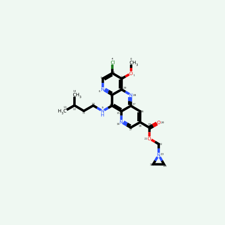 COc1c(Cl)cnc2c(NCCC(C)C)c3ncc(C(=O)OCN4CC4)cc3nc12